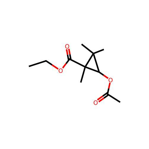 CCOC(=O)C1(C)C(OC(C)=O)C1(C)C